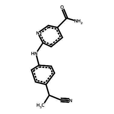 CC(C#N)c1ccc(Nc2ccc(C(N)=O)cn2)cc1